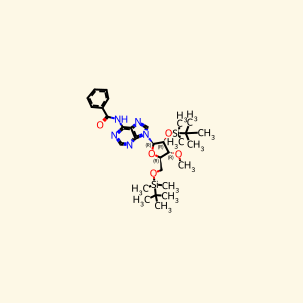 CO[C@H]1[C@@H](O[Si](C)(C)C(C)(C)C)[C@H](n2cnc3c(NC(=O)c4ccccc4)ncnc32)O[C@@H]1CO[Si](C)(C)C(C)(C)C